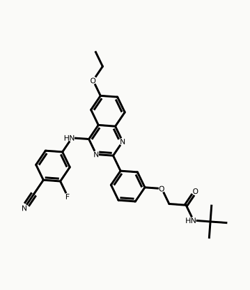 CCOc1ccc2nc(-c3cccc(OCC(=O)NC(C)(C)C)c3)nc(Nc3ccc(C#N)c(F)c3)c2c1